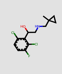 CC1(CNCC(O)c2c(Cl)ccc(F)c2Cl)CC1